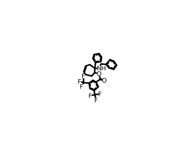 O=C(OC1CCC=CCC1(NCc1ccccc1)c1ccccc1)c1cc(C(F)(F)F)cc(C(F)(F)F)c1